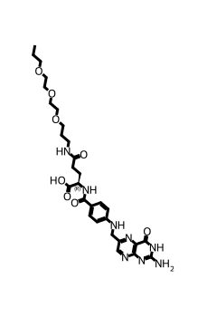 CCCOCCOCCOCCCNC(=O)CC[C@@H](NC(=O)c1ccc(NCc2cnc3nc(N)[nH]c(=O)c3n2)cc1)C(=O)O